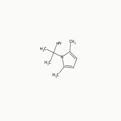 CCCC(C)(C)n1c(C)ccc1C